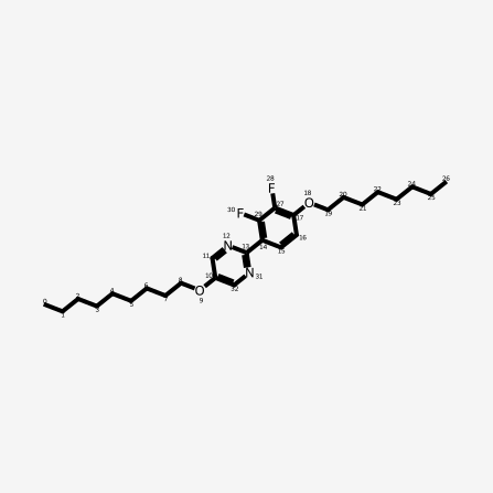 CCCCCCCCCOc1cnc(-c2ccc(OCCCCCCCC)c(F)c2F)nc1